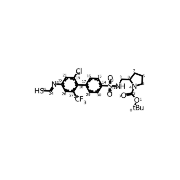 CC(C)(C)OC(=O)N1CCCC1CNS(=O)(=O)c1ccc(-c2c(Cl)cc(/N=C/S)cc2C(F)(F)F)cc1